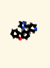 c1ccc2c(c1)oc1ccc3c4cnccc4c4nccn4c3c12